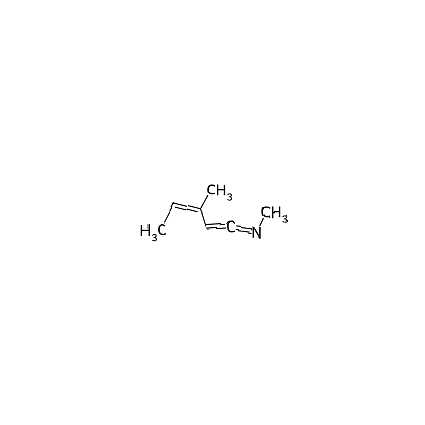 C/C=C(/C)C=C=NC